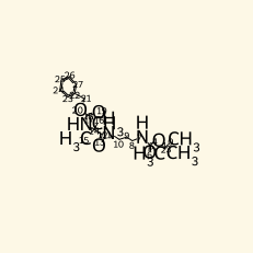 CC(C)(C)OC(=O)NCCCNC(=O)C(C)(C)NC(=O)OCc1ccccc1